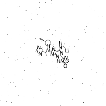 C#C[C@H]1CC[C@H](Cn2c(NC(C)c3cnccn3)nc3nc(-c4noc(=O)[nH]4)nc(N[C@H](C)C4CCC4)c32)CC1